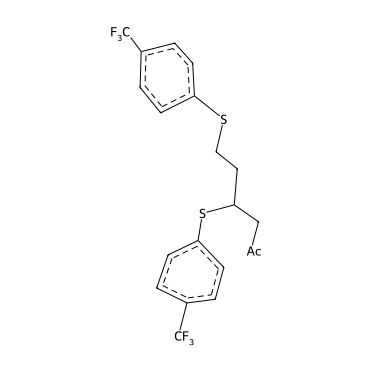 CC(=O)CC(CCSc1ccc(C(F)(F)F)cc1)Sc1ccc(C(F)(F)F)cc1